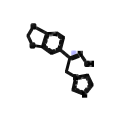 O/N=C(\Cn1ccnc1)c1ccc2c(c1)OCO2